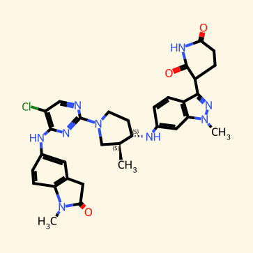 C[C@H]1CN(c2ncc(Cl)c(Nc3ccc4c(c3)CC(=O)N4C)n2)CC[C@@H]1Nc1ccc2c(C3CCC(=O)NC3=O)nn(C)c2c1